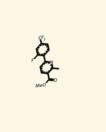 COC(=O)c1ccc(-c2ccc(C(F)(F)F)cc2F)nc1C